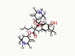 CCCCC(Cc1cc(C(C)(C)C)c(O)cc1C(C)(C)C)(C(=O)OC1CC(C)(C)N(C)C(C)C1C)C(=O)OC1CC(C)(C)N(C)C(C)C1C